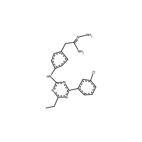 CCc1nc(Nc2ccc(C/C(N)=N/N)cc2)nc(-c2cccc(Cl)c2)n1